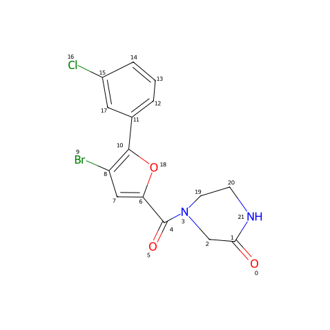 O=C1CN(C(=O)c2cc(Br)c(-c3cccc(Cl)c3)o2)CCN1